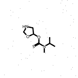 CC(C)N(C)C(=S)OC1CNCO1